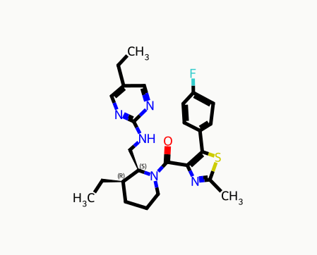 CCc1cnc(NC[C@@H]2[C@H](CC)CCCN2C(=O)c2nc(C)sc2-c2ccc(F)cc2)nc1